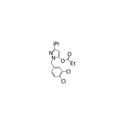 CCC(=O)Oc1cc(C(C)C)nn1Cc1ccc(Cl)c(Cl)c1